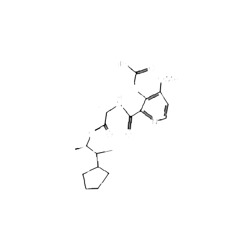 COc1ccnc(C(=O)N[C@@H](C)C(=O)O[C@H](C)C(C)C2CCCC2)c1OC(=O)C(C)C